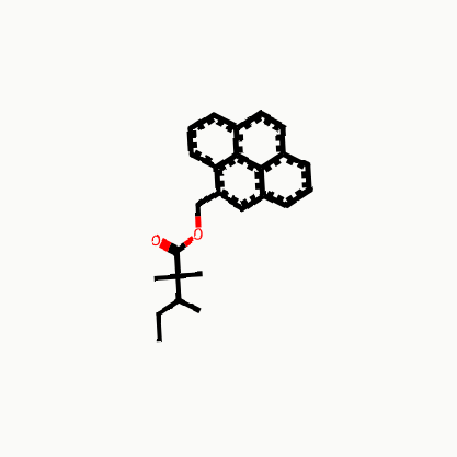 CCC(C)C(C)(C)C(=O)OCc1cc2cccc3ccc4cccc1c4c32